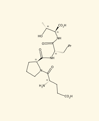 CC(C)C[C@H](NC(=O)[C@@H]1CCCN1C(=O)[C@@H](N)CCC(=O)O)C(=O)N[C@H](C(=O)O)[C@@H](C)O